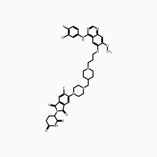 COc1cc2ncnc(Nc3ccc(F)c(Cl)c3)c2cc1OCCCN1CCC(CN2CCN(c3cc4c(cc3F)C(=O)N(C3CCC(=O)NC3=O)C4=O)CC2)CC1